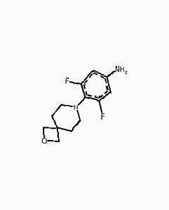 Nc1cc(F)c(N2CCC3(CC2)COC3)c(F)c1